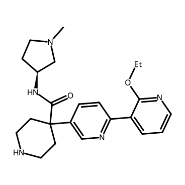 CCOc1ncccc1-c1ccc(C2(C(=O)N[C@H]3CCN(C)C3)CCNCC2)cn1